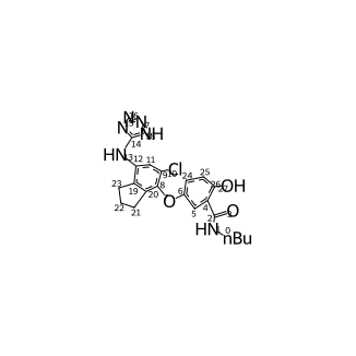 CCCCNC(=O)c1cc(Oc2c(Cl)cc(Nc3nnn[nH]3)c3c2CCC3)ccc1O